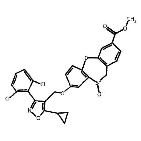 COC(=O)c1ccc2c(c1)Oc1ccc(OCc3c(-c4c(Cl)cccc4Cl)noc3C3CC3)cc1[S+]([O-])C2